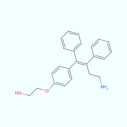 NCCC(=C(c1ccccc1)c1ccc(OCCO)cc1)c1ccccc1